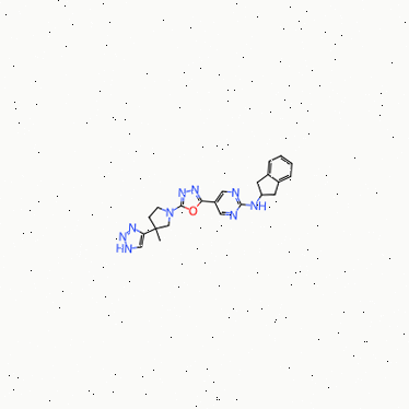 CC1(c2c[nH]nn2)CCN(c2nnc(-c3cnc(NC4Cc5ccccc5C4)nc3)o2)C1